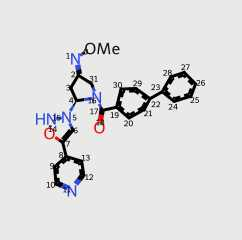 CON=C1C[C@H](N2C=C(c3ccncc3)ON2)N(C(=O)c2ccc(-c3ccccc3)cc2)C1